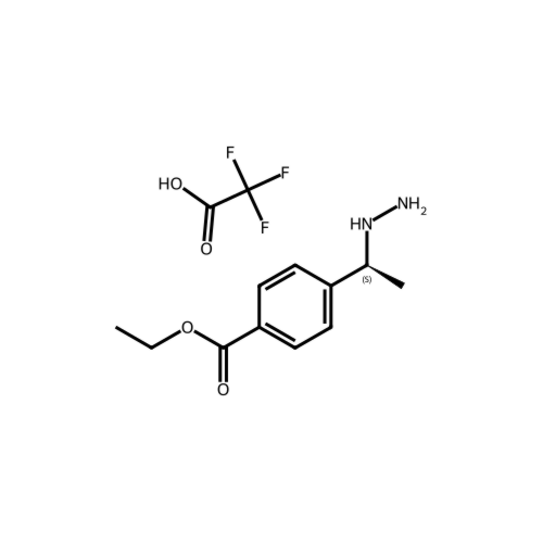 CCOC(=O)c1ccc([C@H](C)NN)cc1.O=C(O)C(F)(F)F